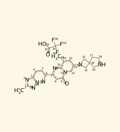 Cc1nc2ccc(-c3cc(=O)n4cc(N5CC6(CCNC6)C5)cc(C)c4n3)nn2n1.O=C(O)C(F)(F)F